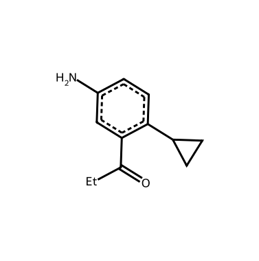 CCC(=O)c1cc(N)ccc1C1CC1